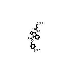 CSc1ccc(COC(=O)N2c3ccccc3C(NC(=O)CCC(=O)O)C3CCC32)cc1